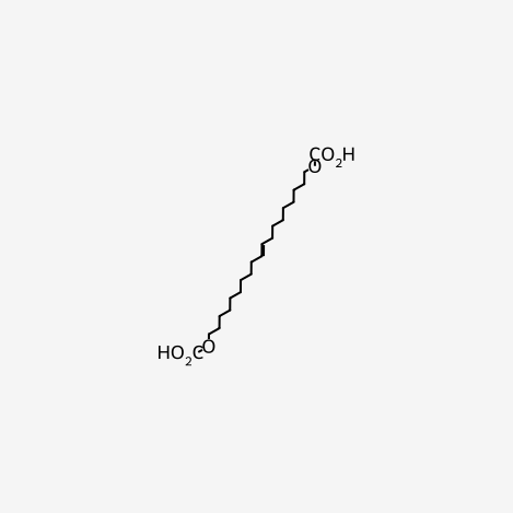 O=C(O)OCCCCCCCCC=CCCCCCCCCCOC(=O)O